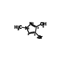 Cn1cc(Br)c(O)n1